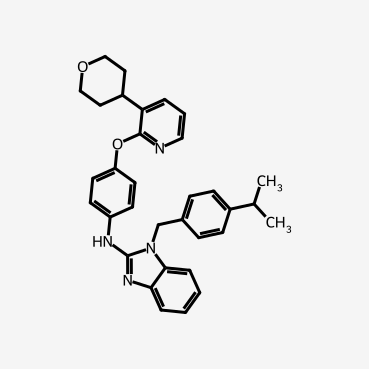 CC(C)c1ccc(Cn2c(Nc3ccc(Oc4ncccc4C4CCOCC4)cc3)nc3ccccc32)cc1